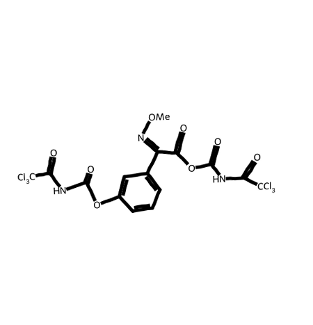 CON=C(C(=O)OC(=O)NC(=O)C(Cl)(Cl)Cl)c1cccc(OC(=O)NC(=O)C(Cl)(Cl)Cl)c1